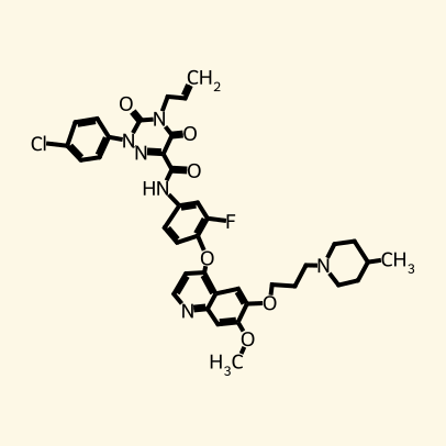 C=CCn1c(=O)c(C(=O)Nc2ccc(Oc3ccnc4cc(OC)c(OCCCN5CCC(C)CC5)cc34)c(F)c2)nn(-c2ccc(Cl)cc2)c1=O